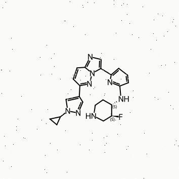 F[C@H]1CNCC[C@@H]1Nc1cccc(-c2cnc3ccc(-c4cnn(C5CC5)c4)nn23)n1